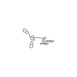 CCCCCCCC(CCCCCCC)OC(=O)CCCCCC(=O)OC(CCC1CC2CCCCC2C1)CCC1CC2CCCCC2C1